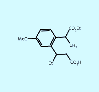 [CH2]CC(CC(=O)O)c1cc(OC)ccc1C(C)C(=O)OCC